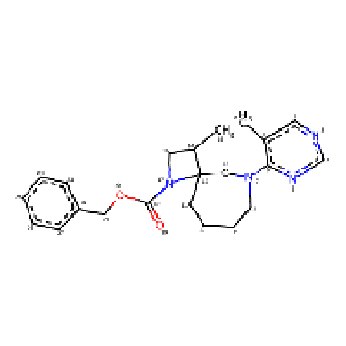 Cc1cncnc1N1CCCCC2(C1)C(C)CN2C(=O)OCc1ccccc1